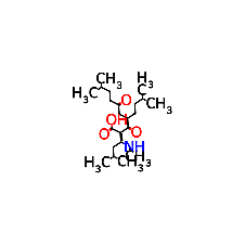 CN/C(CC(C)C)=C(/C(=O)O)C(=O)[C@H](CCC(C)C)CC(=O)CCC(C)C